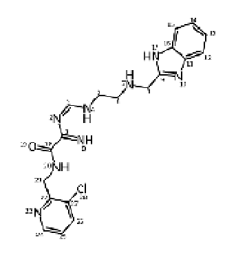 N=C(/N=C\NCCNCc1nc2ccccc2[nH]1)C(=O)NCc1ncccc1Cl